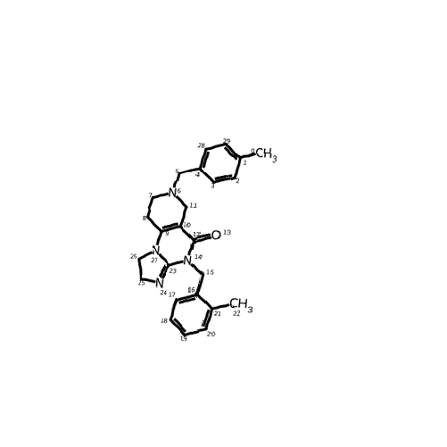 Cc1ccc(CN2CCC3=C(C2)C(=O)N(Cc2ccccc2C)C2=NCCN23)cc1